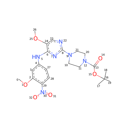 COc1cc(Nc2nc(N3CCN(C(=O)OC(C)(C)C)CC3)ncc2OC)ccc1[N+](=O)[O-]